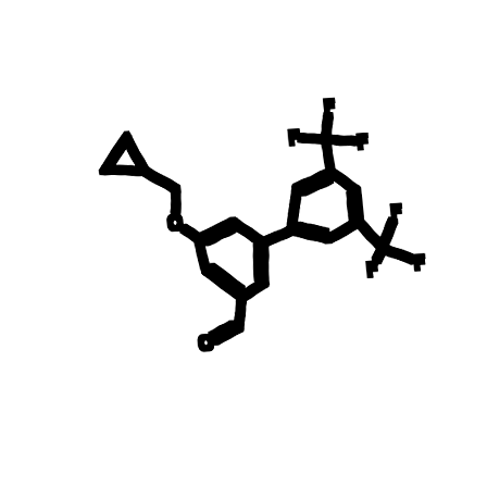 O=Cc1cc(OCC2CC2)cc(-c2cc(C(F)(F)F)cc(C(F)(F)F)c2)c1